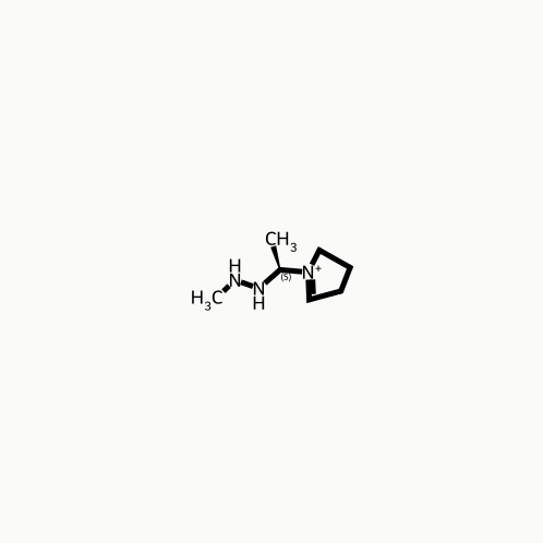 CNN[C@@H](C)[N+]1=CCCC1